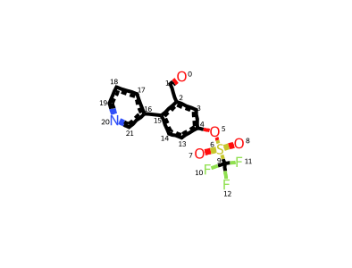 O=Cc1cc(OS(=O)(=O)C(F)(F)F)ccc1-c1cccnc1